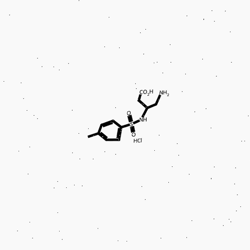 Cc1ccc(S(=O)(=O)NC(CN)CC(=O)O)cc1.Cl